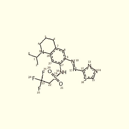 CC(C)N1CCCc2cc(N=Nc3nncs3)c(NS(=O)(=O)CC(F)(F)F)cc21